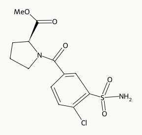 COC(=O)[C@@H]1CCCN1C(=O)c1ccc(Cl)c(S(N)(=O)=O)c1